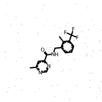 Cc1cc(C(=O)NCc2cccc(C(F)(F)F)c2C)ncn1